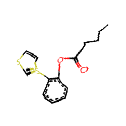 CCCCC(=O)Oc1ccccc1S1=CSC=C1